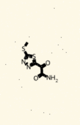 CSc1nnc(C(=O)C(N)=O)s1